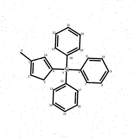 CC1=CCC([Si](c2ccccc2)(c2ccccc2)c2ccccc2)=C1